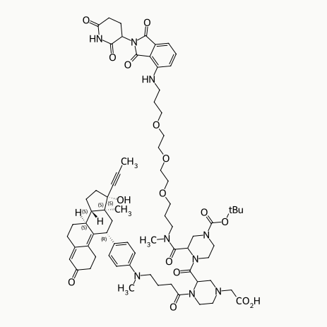 CC#C[C@]1(O)CC[C@H]2[C@@H]3CCC4=CC(=O)CCC4=C3[C@@H](c3ccc(N(C)CCCC(=O)N4CCN(CC(=O)O)CC4C(=O)N4CCN(C(=O)OC(C)(C)C)CC4C(=O)N(C)CCCOCCOCCOCCCNc4cccc5c4C(=O)N(C4CCC(=O)NC4=O)C5=O)cc3)C[C@@]21C